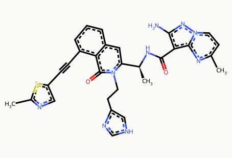 Cc1ccn2nc(N)c(C(=O)N[C@@H](C)c3cc4cccc(C#Cc5cnc(C)s5)c4c(=O)n3CCc3c[nH]cn3)c2n1